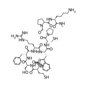 CNC(=O)[C@H](CCCCN)NC(=O)[C@@H]1CCCN1C(=O)[C@@H]1CCCN1C(=O)[C@H](CS)NC(=O)[C@H](Cc1c[nH]c2ccccc12)NC(=O)[C@H](CCCNC(=N)N)NC(=O)[C@@H](Cc1ccccc1)NC(=O)[C@H](CO)NC(=O)[C@H](CCS)NC(C)=O